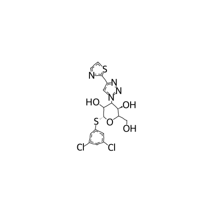 OCC1O[C@H](Sc2cc(Cl)cc(Cl)c2)C(O)C(n2cc(-c3nccs3)nn2)[C@H]1O